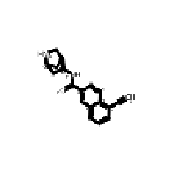 C#Cc1cccc2cc(C(=O)NC3CC4CC3CN4)ccc12